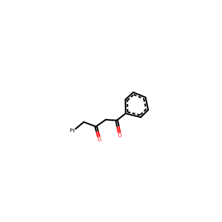 O=C([CH2][Pt])CC(=O)c1ccccc1